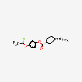 CCCCCC[C@H]1CC[C@H](C(=O)Oc2ccc(OC(F)C(F)(F)F)cc2)CC1